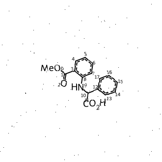 COC(=O)c1ccccc1NC(C(=O)O)c1ccccc1